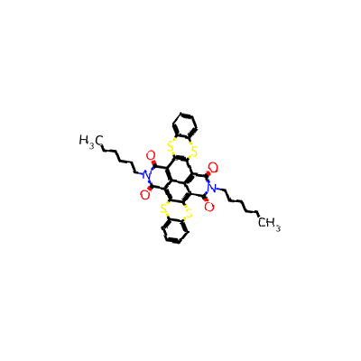 CCCCCCn1c(=O)c2c3sc4ccccc4sc3c3c(=O)n(CCCCCC)c(=O)c4c5sc6ccccc6sc5c(c1=O)c2c34